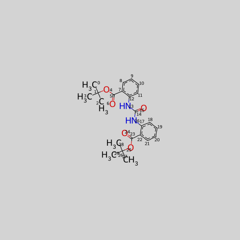 CC(C)(C)OC(=O)c1ccccc1NC(=O)Nc1ccccc1C(=O)OC(C)(C)C